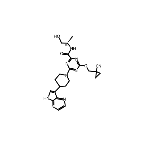 C[C@H](CO)NC(=O)c1nc(OCC2(C#N)CC2)nc(N2CCC(c3c[nH]c4nccnc34)CC2)n1